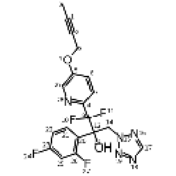 CC#CCOc1ccc(C(F)(F)C(O)(Cn2ncnn2)c2ccc(F)cc2F)nc1